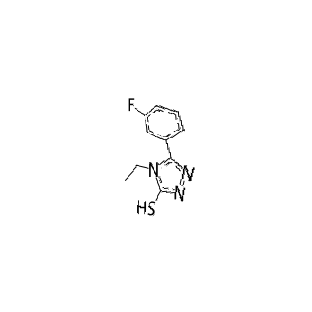 CCn1c(S)nnc1-c1cccc(F)c1